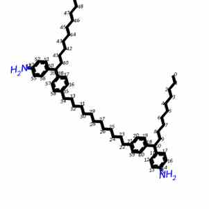 CCCCCCCCCCC(c1ccc(N)cc1)c1ccc(CCCCCCCCCCCCCc2ccc(C(CCCCCCCCCC)c3ccc(N)cc3)cc2)cc1